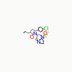 C=CCC1CC[C@@H](c2ccc(Cl)cc2)N(C(CN(c2cccnc2)[S+](C)[O-])C2CC2)C1=O